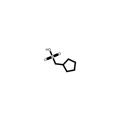 O=S(=O)(O)CC1C[CH]CC1